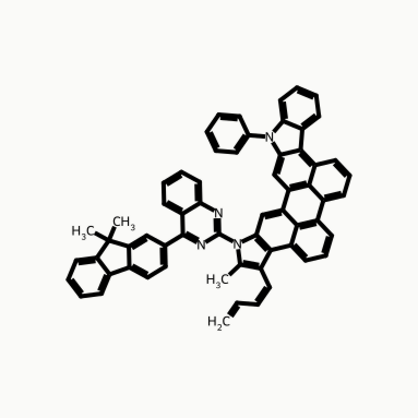 C=C/C=C\c1c(C)n(-c2nc(-c3ccc4c(c3)C(C)(C)c3ccccc3-4)c3ccccc3n2)c2cc3c4cc5c(c6cccc(c7cccc(c12)c73)c46)c1ccccc1n5-c1ccccc1